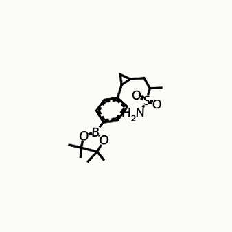 CC(CC1CC1c1ccc(B2OC(C)(C)C(C)(C)O2)cc1)S(N)(=O)=O